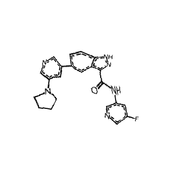 O=C(Nc1cncc(F)c1)c1n[nH]c2ccc(-c3cncc(N4CCCC4)c3)cc12